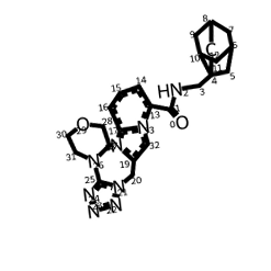 O=C(NCC12CC3CC(CC1C3)C2)c1cccc2nc(Cn3nnnc3N3CCOCC3)cn12